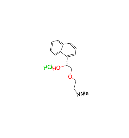 CNCCOCC(O)c1cccc2ccccc12.Cl